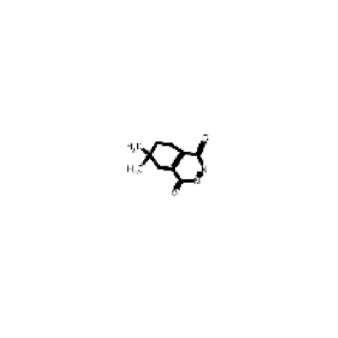 CC1(C)CCC2=C(C1)C(=O)N=NC2=O